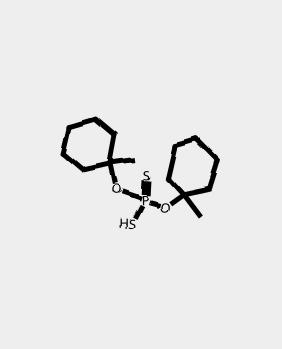 CC1(OP(=S)(S)OC2(C)CCCCC2)CCCCC1